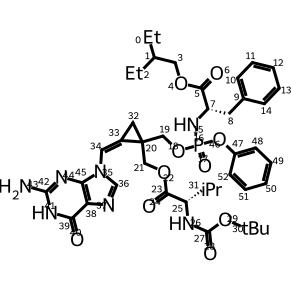 CCC(CC)COC(=O)[C@H](Cc1ccccc1)N[P@](=O)(OCC1(COC(=O)[C@@H](NC(=O)OC(C)(C)C)C(C)C)C/C1=C/n1cnc2c(=O)[nH]c(N)nc21)Oc1ccccc1